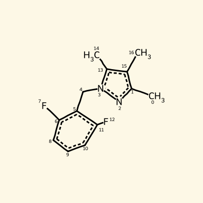 Cc1nn(Cc2c(F)cccc2F)c(C)c1C